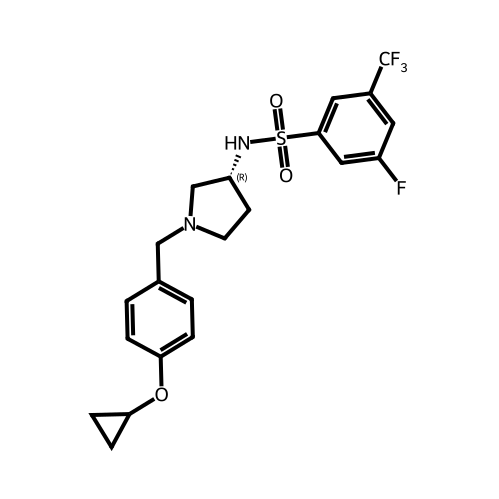 O=S(=O)(N[C@@H]1CCN(Cc2ccc(OC3CC3)cc2)C1)c1cc(F)cc(C(F)(F)F)c1